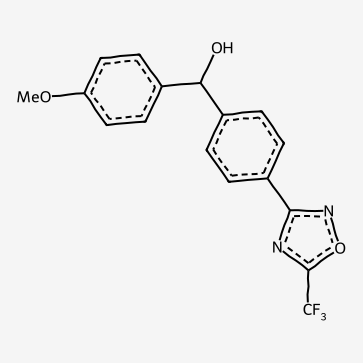 COc1ccc(C(O)c2ccc(-c3noc(C(F)(F)F)n3)cc2)cc1